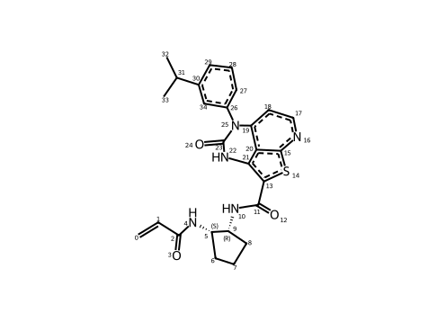 C=CC(=O)N[C@H]1CCC[C@H]1NC(=O)c1sc2nccc3c2c1NC(=O)N3c1cccc(C(C)C)c1